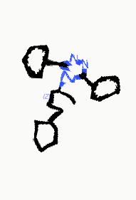 CC(/C=C\C=C1CCCCC1)n1c(-c2ccccc2)nnc1-c1ccccc1